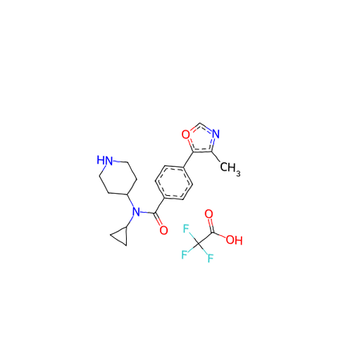 Cc1ncoc1-c1ccc(C(=O)N(C2CCNCC2)C2CC2)cc1.O=C(O)C(F)(F)F